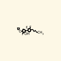 CCCCCc1ccc(-c2ccc(OC3CCC3)c(F)c2O)c(F)c1F